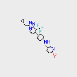 COc1ccc(CNc2ccc(-c3ccn4c(CC5CC5)nnc4c3C(F)(F)F)cc2)cn1